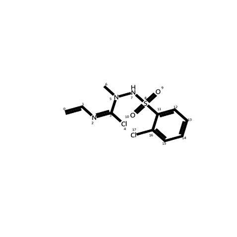 C=C/N=C(/Cl)N(C)NS(=O)(=O)c1ccccc1Cl